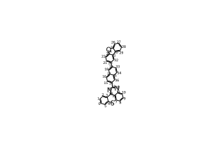 c1ccc2c(c1)Sc1cccc3nc(-c4ccc5cc(-c6ccc7oc8ccccc8c7c6)ccc5c4)nc-2c13